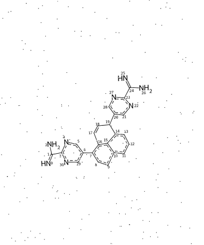 N=C(N)c1ncc(-c2ccc3cccc4c3c2C=CC4c2cnc(C(=N)N)nc2)cn1